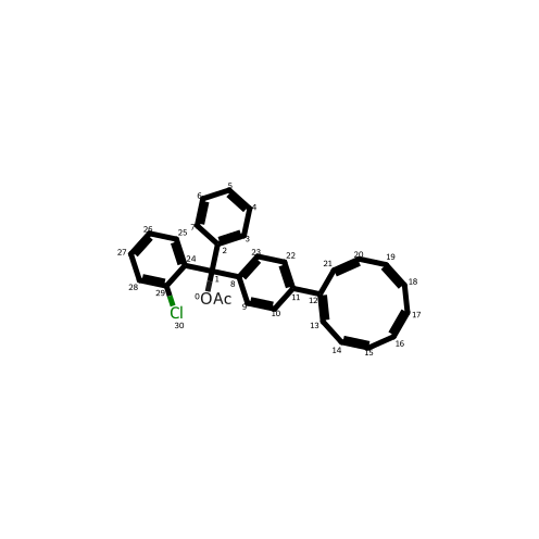 CC(=O)OC(c1ccccc1)(c1ccc(-c2ccccccccc2)cc1)c1ccccc1Cl